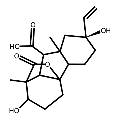 C=C[C@]1(O)CCC2C(C)(C1)C(C(=O)O)C1C23CCC(O)C1(C)C(=O)O3